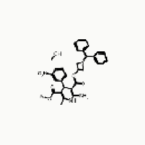 CC1=C(C(=O)OC(C)C)C(c2cccc([N+](=O)[O-])c2)C(C(=O)OC2CN(C(c3ccccc3)c3ccccc3)C2)=C(N)N1.CO